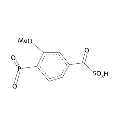 COc1cc(C(=O)S(=O)(=O)O)ccc1P(=O)=O